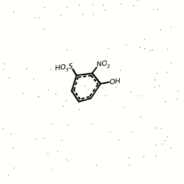 O=[N+]([O-])c1c(O)cccc1S(=O)(=O)O